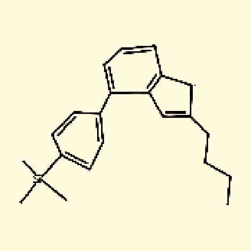 CCCCC1=Cc2c(cccc2-c2ccc([Si](C)(C)C)cc2)[CH]1